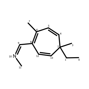 CCC1(C)C=CC(C)=C(/C=N\C)C=C1